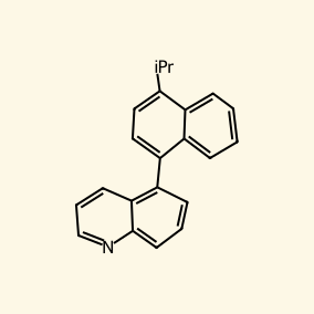 CC(C)c1ccc(-c2cccc3ncccc23)c2ccccc12